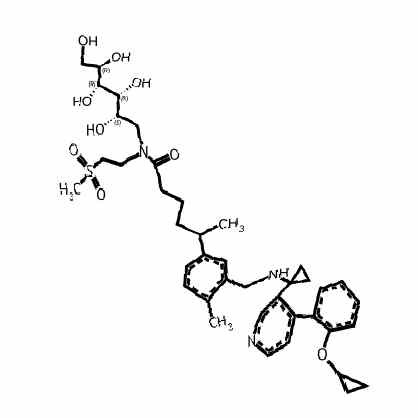 Cc1ccc(C(C)CCCC(=O)N(CCS(C)(=O)=O)C[C@H](O)[C@@H](O)[C@H](O)[C@H](O)CO)cc1CNC1(c2cnccc2-c2ccccc2OC2CC2)CC1